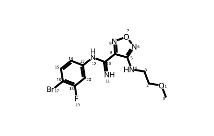 COCCNc1nonc1C(=N)Nc1ccc(Br)c(F)c1